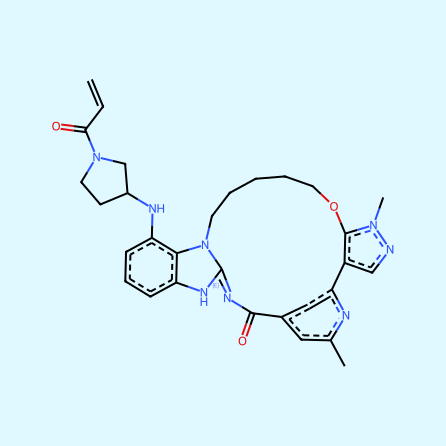 C=CC(=O)N1CCC(Nc2cccc3c2N2CCCCCOc4c(cnn4C)-c4cc(cc(C)n4)C(=O)/N=C/2N3)C1